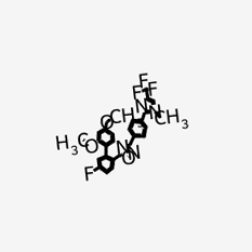 COc1ccc(-c2cc(F)ccc2-c2nc(-c3ccc(-c4nc(C(F)(F)F)cn4C)cc3)no2)c(OC)c1